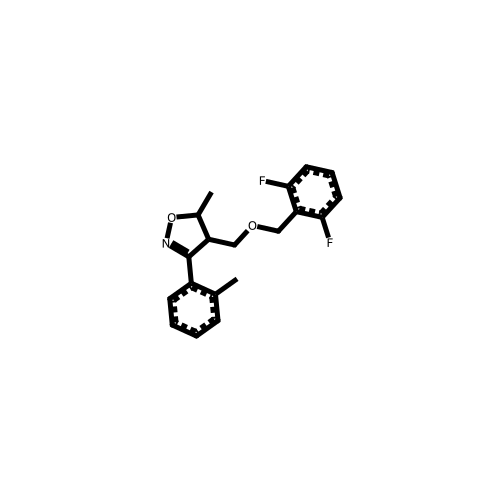 Cc1ccccc1C1=NOC(C)C1COCc1c(F)cccc1F